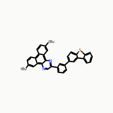 CC(C)(C)c1ccc2c3ccc(C(C)(C)C)cc3c3nc(-c4cccc(-c5ccc6sc7ccccc7c6c5)c4)cnc3c2c1